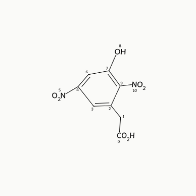 O=C(O)Cc1cc([N+](=O)[O-])cc(O)c1[N+](=O)[O-]